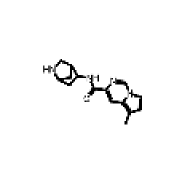 Cc1ccn2cnc(C(=O)NC3CC4CC3CN4)cc12